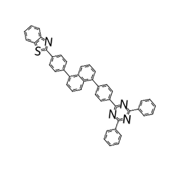 c1ccc(-c2nc(-c3ccccc3)nc(-c3ccc(-c4cccc5c(-c6ccc(-c7nc8ccccc8s7)cc6)cccc45)cc3)n2)cc1